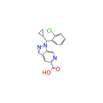 O=C(O)c1cc2cnn(C(c3ccccc3Cl)C3CC3)c2cn1